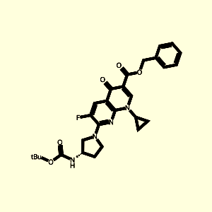 CC(C)(C)OC(=O)N[C@H]1CCN(c2nc3c(cc2F)c(=O)c(C(=O)OCc2ccccc2)cn3C2CC2)C1